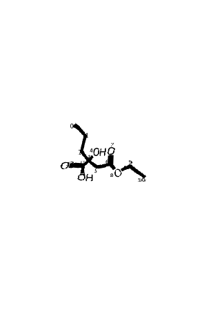 CCCC(O)(CC(=O)OCC)C(=O)O